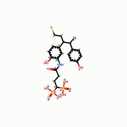 CCC(c1ccc(O)cc1)C(CCF)c1ccc(O)c(NC(=O)CCC(P(=O)(O)O)P(=O)(O)O)c1